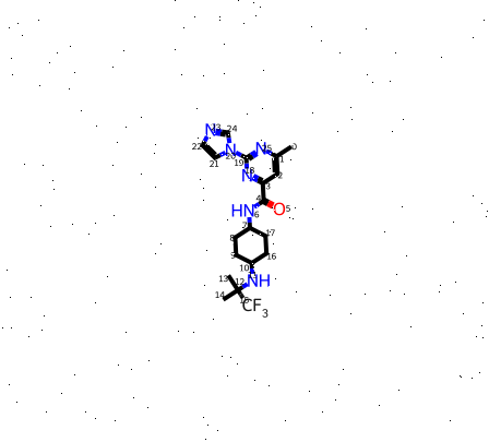 Cc1cc(C(=O)NC2CCC(NC(C)(C)C(F)(F)F)CC2)nc(-n2ccnc2)n1